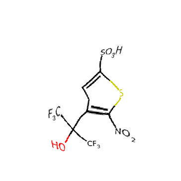 O=[N+]([O-])c1sc(S(=O)(=O)O)cc1C(O)(C(F)(F)F)C(F)(F)F